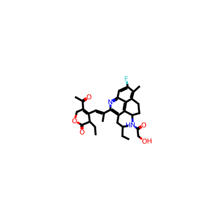 CCC(C)Cc1c(/C(C)=C/C2=C(C(C)=O)COC(=O)C2CC)nc2cc(F)c(C)c3c2c1C(NC(=O)CO)CC3